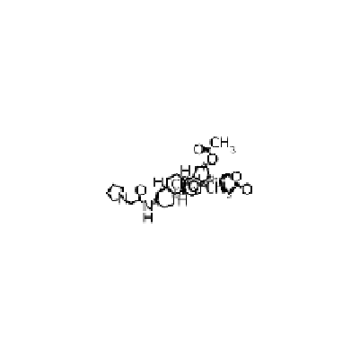 CC(=O)O[C@H]1C[C@]2(O)[C@@H]3CC[C@@H]4C[C@@H](NC(=O)CN5CCCC5)CC[C@]4(C)[C@H]3CC[C@]2(C)[C@H]1c1ccc(=O)oc1